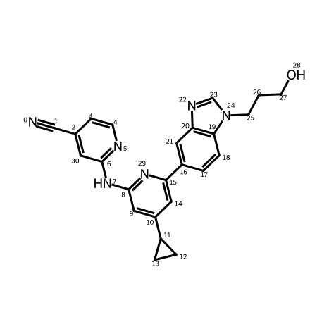 N#Cc1ccnc(Nc2cc(C3CC3)cc(-c3ccc4c(c3)ncn4CCCO)n2)c1